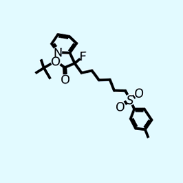 Cc1ccc(S(=O)(=O)CCCCCCC(F)(C(=O)OC(C)(C)C)c2ccccn2)cc1